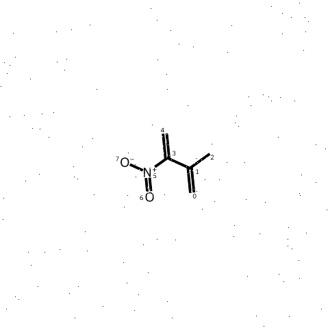 C=C(C)C(=C)[N+](=O)[O-]